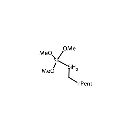 CCCCCC[SiH2][Si](OC)(OC)OC